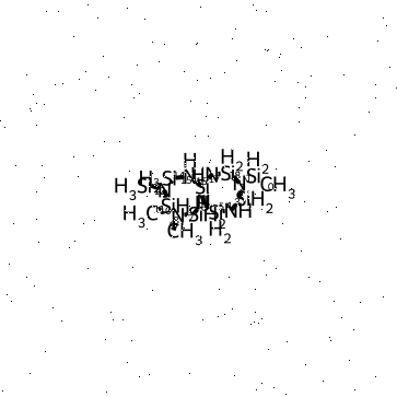 C[SiH2]N1[SiH2]N[SiH2]N2[SiH2]N(C)[SiH](C)N([SiH3])[SiH2]N[SiH]2N[SiH2]1